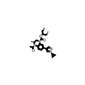 CC(=O)N1c2ccc(-c3cnn(C4CC4)c3)cc2N(C(=O)OC(CF)CF)C[C@@H]1C